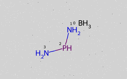 B.NPN